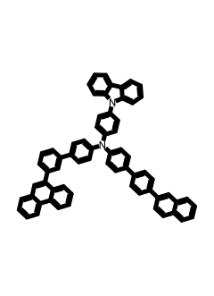 c1cc(-c2ccc(N(c3ccc(-c4ccc(-c5ccc6ccccc6c5)cc4)cc3)c3ccc(-n4c5ccccc5c5ccccc54)cc3)cc2)cc(-c2cc3ccccc3c3ccccc23)c1